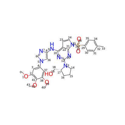 COc1cc(-n2cnc(Nc3nc(N4CCC[C@@H]4CO)nc4c3ccn4S(=O)(=O)c3ccc(C)cc3)c2)cc(OC)c1OC